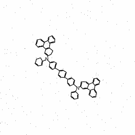 C1=CCCC(N(C2=Cc3c(c4ccccc4c4ccccc34)CC2)c2ccc(-c3ccc(-c4ccc(N(c5ccccc5)c5ccc6c7ccccc7c7ccccc7c6c5)cc4)cc3)cc2)=C1